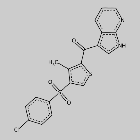 Cc1c(S(=O)(=O)c2ccc(Cl)cc2)csc1C(=O)c1c[nH]c2ncccc12